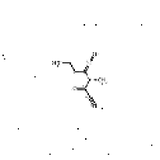 CCCC(=C=O)[C@H](C)C(=O)C#N